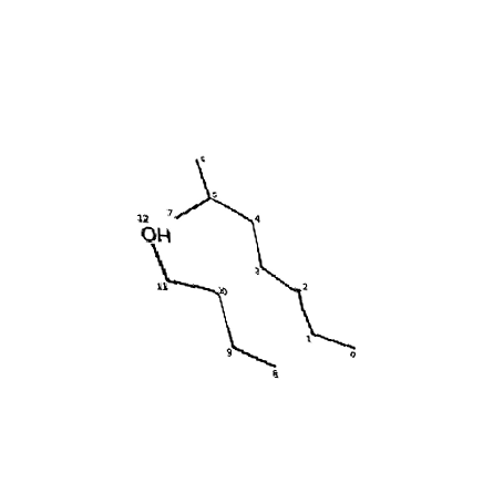 CCCCCC(C)C.CCCCO